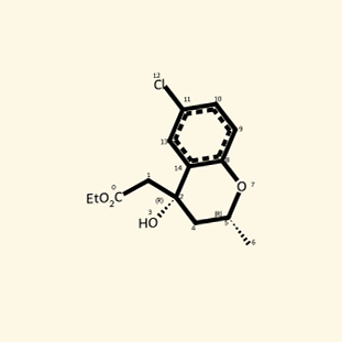 CCOC(=O)C[C@]1(O)C[C@@H](C)Oc2ccc(Cl)cc21